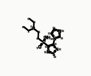 CCN(CC)CCS(=N)(=O)c1nsnc1-n1ccnc1